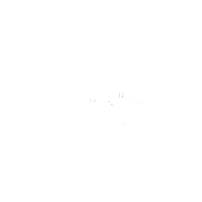 CCN(C(=O)c1cccc(C)c1)N(C(=O)c1cccc(C)c1)C(C)(C)C